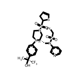 CC(C)CS(=O)(=O)N(C[C@H]1CN(S(=O)(=O)C2CC=CS2)CCN1c1ccc([C@](C)(O)C(F)(F)F)cc1)c1cccnc1